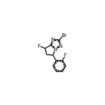 Fc1ccccc1C1CC(F)c2nc(Br)nn21